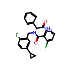 NC(=O)[C@@H](c1ccccc1)N(Cc1cc(C2CC2)ccc1F)C(=O)c1ccccc1F